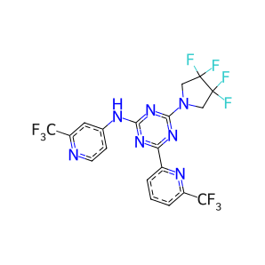 FC(F)(F)c1cc(Nc2nc(-c3cccc(C(F)(F)F)n3)nc(N3CC(F)(F)C(F)(F)C3)n2)ccn1